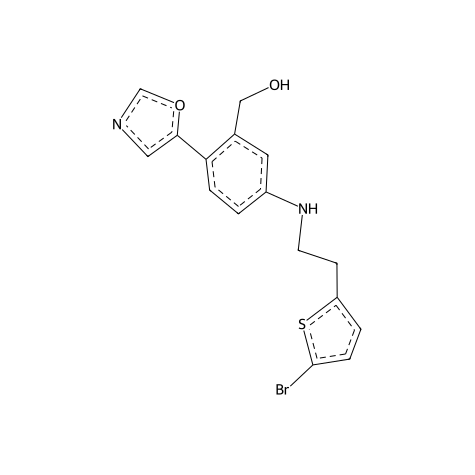 OCc1cc(NCCc2ccc(Br)s2)ccc1-c1cnco1